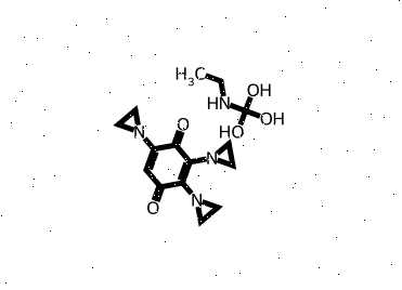 CCNC(O)(O)O.O=C1C=C(N2CC2)C(=O)C(N2CC2)=C1N1CC1